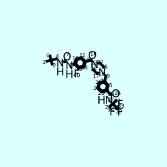 CC(C)(C)CNC(=O)Nc1ccc(C(=O)N2CCN(Cc3cccc(C(=O)NC(C)(C)C(F)(F)F)c3)CC2)cc1F